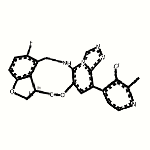 Cc1nccc(-c2cc3c(n4cnnc24)NCc2c(F)ccc4c2[C@H](CO4)CO3)c1Cl